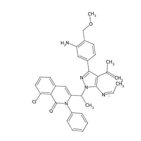 C=C(C)c1c(-c2ccc(COC)c(N)c2)nn(C(C)c2cc3cccc(Cl)c3c(=O)n2-c2ccccc2)c1/N=C\C